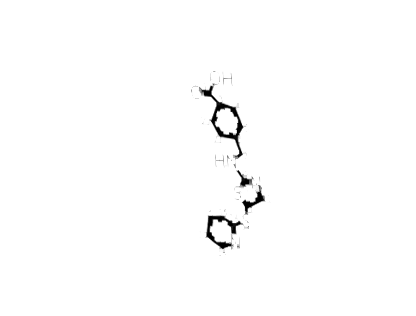 O=C(O)c1ccc(CNc2ncc(Sc3ccccn3)s2)cc1